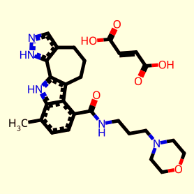 Cc1ccc(C(=O)NCCCN2CCOCC2)c2c3c([nH]c12)-c1[nH]ncc1CCC3.O=C(O)C=CC(=O)O